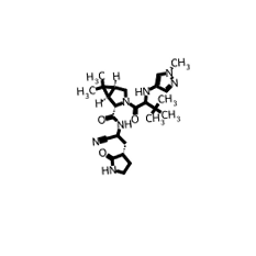 Cn1cc(NC(C(=O)N2C[C@H]3[C@@H]([C@H]2C(=O)NC(C#N)C[C@@H]2CCNC2=O)C3(C)C)C(C)(C)C)cn1